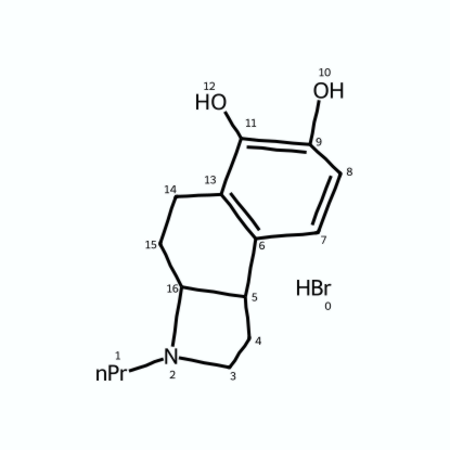 Br.CCCN1CCC2c3ccc(O)c(O)c3CCC21